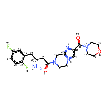 N[C@@H](CC(=O)N1CCn2cc(C(=O)N3CCOCC3)nc2C1)Cc1cc(F)ccc1F